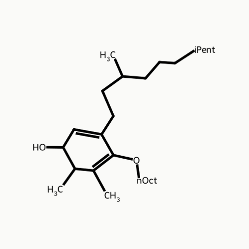 CCCCCCCCOC1=C(C)C(C)C(O)C=C1CCC(C)CCCC(C)CCC